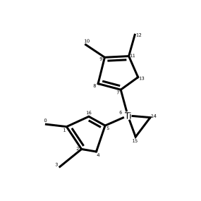 CC1=C(C)C[C]([Ti]2([C]3=CC(C)=C(C)C3)[CH2][CH2]2)=C1